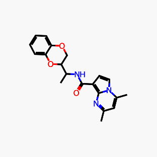 Cc1cc(C)n2ccc(C(=O)NC(C)C3COc4ccccc4O3)c2n1